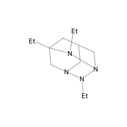 CCN1N2CC3CN1N(CC)C(CC)(C3)C2